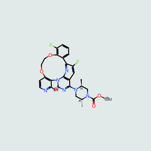 CC(C)c1nccc2c1-n1c(=O)nc(N3C[C@@H](C)N(C(=O)OC(C)(C)C)C[C@@H]3C)c3cc(F)c(nc31)-c1cccc(F)c1OCCO2